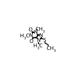 CCCSc1nc2c(c(=O)n(C)c(=O)n2C)n1CC